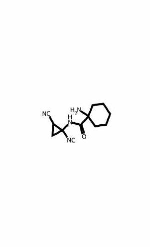 [C-]#[N+]C1(NC(=O)C2(N)CCCCC2)CC1C#N